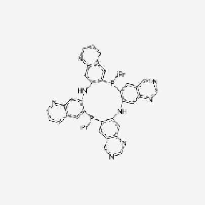 CC(C)P1c2cc3cccnc3cc2Nc2cc3ncccc3cc2P(C(C)C)c2cc3cncnc3cc2Nc2cc3ncncc3cc21